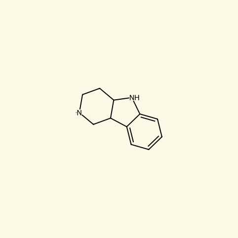 c1ccc2c(c1)NC1CC[N]CC21